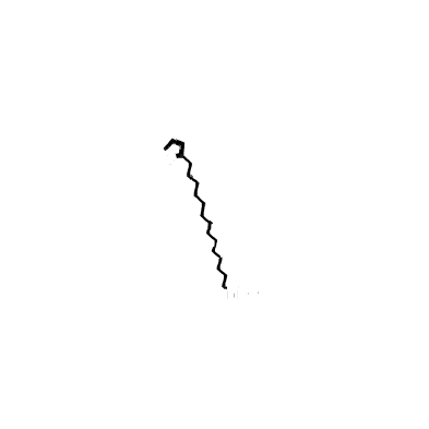 CCCCCCCCCCCCCCCCCCCCCCCCc1cccs1